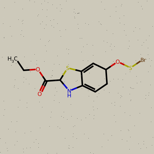 CCOC(=O)C1NC2=CCC(OSBr)C=C2S1